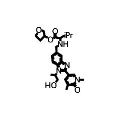 Cc1cc(-c2nc3cc(CNC(C(=O)OC4CCOC4)C(C)C)ccc3n2C(C)CO)cn(C)c1=O